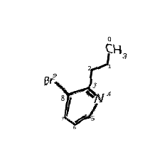 CCCc1ncccc1Br